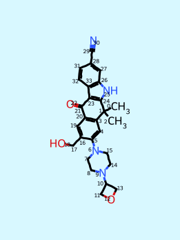 CC1(C)c2cc(N3CCN(C4COC4)CC3)c(CO)cc2C(=O)c2c1[nH]c1cc(C#N)ccc21